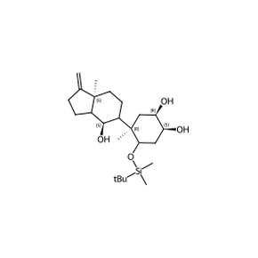 C=C1CCC2[C@H](O)C([C@@]3(C)C[C@@H](O)[C@@H](O)CC3O[Si](C)(C)C(C)(C)C)CC[C@]12C